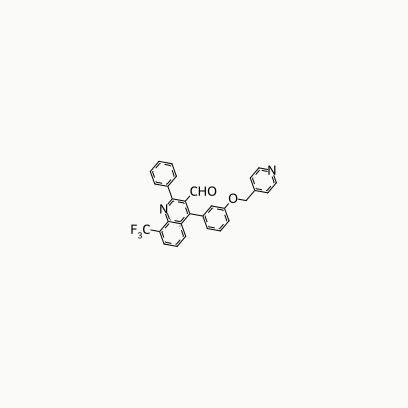 O=Cc1c(-c2ccccc2)nc2c(C(F)(F)F)cccc2c1-c1cccc(OCc2ccncc2)c1